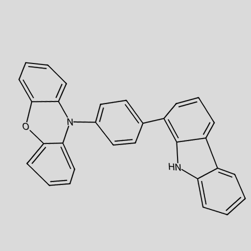 c1ccc2c(c1)Oc1ccccc1N2c1ccc(-c2cccc3c2[nH]c2ccccc23)cc1